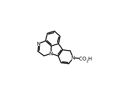 O=C(O)N1C=Cc2c(c3cccc4c3n2CC=N4)C1